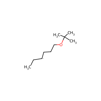 CC[CH]CCCOC(C)(C)C